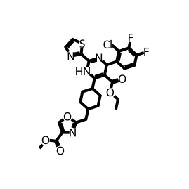 CCOC(=O)C1=C(C2CCC(Cc3nc(C(=O)OC)co3)CC2)NC(c2nccs2)=NC1c1ccc(F)c(F)c1Cl